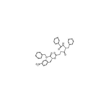 O=C(CCC(=O)C(Cc1ccccc1)NC(=O)c1ccccc1)O[C@@H](Cc1ccc([N+](=O)[O-])cc1)C(=O)OCc1ccccc1